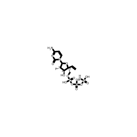 C=C[C@]1(COP(=O)(O)OP(=O)(O)OP(=O)(O)O)OC(n2ccc(N)nc2=O)[C@@H](F)[C@@H]1O